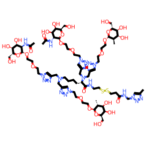 CC(=O)N[C@H]1[C@H](OCCOCCn2cc(CN(CCCC[C@@H](C(=O)NCCSSCCC(=O)NCn3cc(C)nn3)N(Cc3cn(CCOCCO[C@@H]4O[C@H](CO)[C@H](O)[C@H](O)[C@H]4C)nn3)Cc3cn(CCOCCO[C@@H]4O[C@H](CO)[C@H](O)[C@H](O)[C@H]4NC(C)=O)nn3)Cc3cn(CCOCCO[C@@H]4O[C@H](CO)[C@H](O)[C@H](O)[C@H]4C)nn3)nn2)O[C@H](CO)[C@H](O)[C@@H]1O